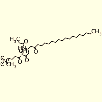 CCCCCCCCCCCCCCCCCC(=O)CC(CC(=O)P(O)C(=O)CCC[N+](C)(C)C)NC(=O)CC